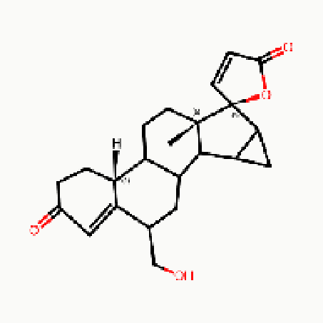 C[C@]12CCC3C(CC(CO)C4=CC(=O)CC[C@@H]43)C1C1CC1[C@@]21C=CC(=O)O1